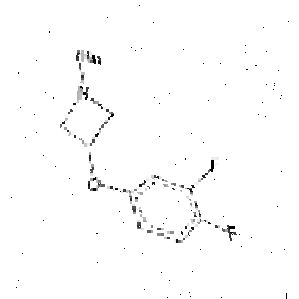 CC(C)(C)N1CC(Oc2ccc(F)c(F)c2)C1